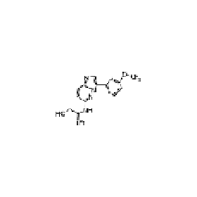 CC(C)C(CO)Nc1ccc2ncc(-c3cccc(OC(F)(F)F)c3)n2n1